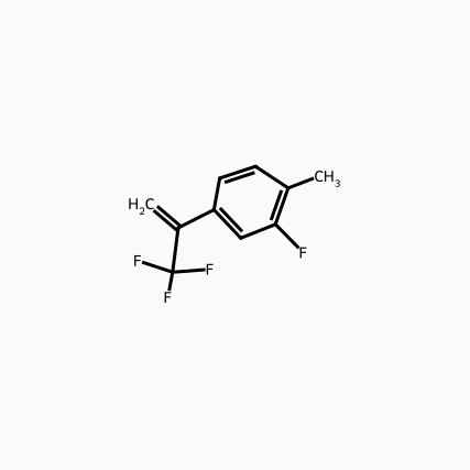 C=C(c1ccc(C)c(F)c1)C(F)(F)F